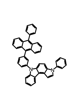 c1ccc(-c2c3ccccc3c(-c3cccc(-n4c5ccccc5c5c6ccn(-c7ccccc7)c6ccc54)c3)c3ccccc23)cc1